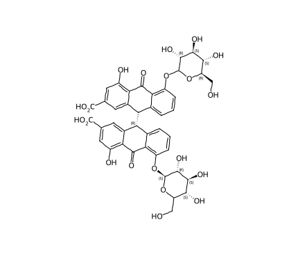 O=C(O)c1cc(O)c2c(c1)C([C@H]1c3cc(C(=O)O)cc(O)c3C(=O)c3c(O[C@@H]4OC(CO)[C@@H](O)[C@H](O)[C@H]4O)cccc31)c1cccc(OC3O[C@H](CO)[C@@H](O)[C@H](O)[C@H]3O)c1C2=O